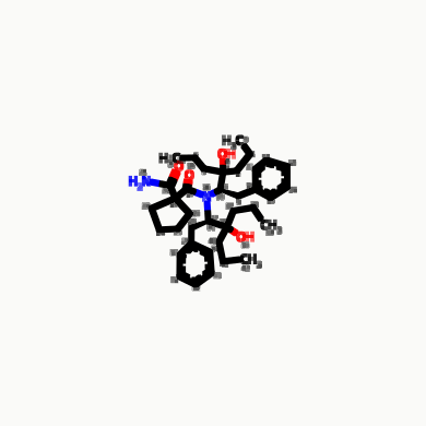 CCCC(O)(CCC)[C@@H](Cc1ccccc1)N(C(=O)C1(C(N)=O)CCCC1)[C@H](Cc1ccccc1)C(O)(CCC)CCC